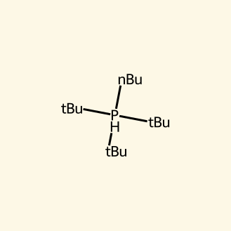 CCCC[PH](C(C)(C)C)(C(C)(C)C)C(C)(C)C